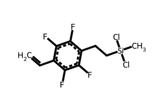 C=Cc1c(F)c(F)c(CC[Si](C)(Cl)Cl)c(F)c1F